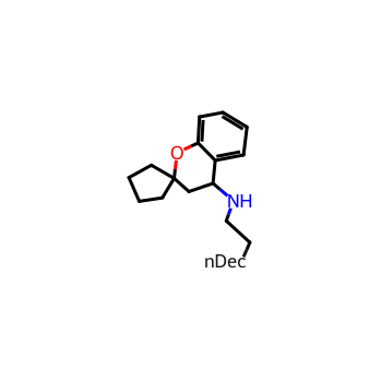 CCCCCCCCCCCCNC1CC2(CCCC2)Oc2ccccc21